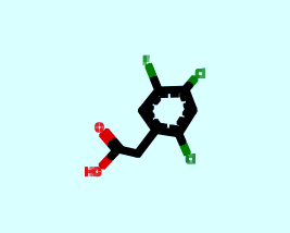 O=C(O)Cc1cc(F)c(Cl)cc1Cl